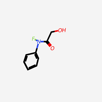 O=C(CO)N(F)c1ccccc1